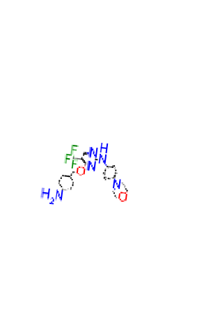 NC1CCC(COc2nc(Nc3ccc(N4CCOCC4)cc3)ncc2C(F)(F)F)CC1